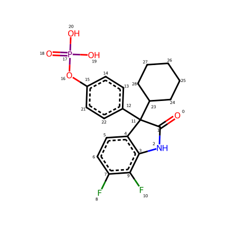 O=C1Nc2c(ccc(F)c2F)C1(c1ccc(OP(=O)(O)O)cc1)C1CCCCC1